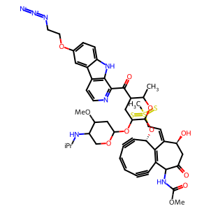 COC(=O)NC1C(=O)C[C@H](O)/C(=C/CS(C)(=S)=S)C2=C1C#C/C=C\C#C[C@@H]2OC1OC(C)C(C(=O)c2nccc3c2[nH]c2ccc(OCCN=[N+]=[N-])cc23)CC1OC1CC(OC)C(NC(C)C)CO1